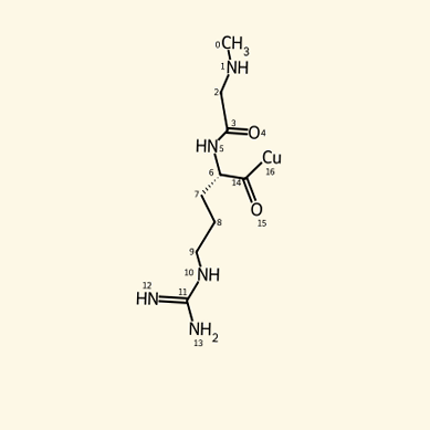 CNCC(=O)N[C@@H](CCCNC(=N)N)[C](=O)[Cu]